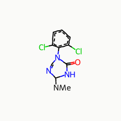 CNC1N=CN(c2c(Cl)cccc2Cl)C(=O)N1